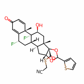 C[C@]12C=CC(=O)C=C1[C@@H](F)C[C@H]1[C@@H]3C[C@H]4OC(c5cccs5)O[C@@]4(C(=O)SCC#N)[C@@]3(C)C[C@H](O)[C@@]12F